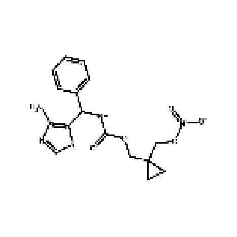 Cc1ncsc1C(NC(=O)OCC1(CO[N+](=O)[O-])CC1)c1ccccc1